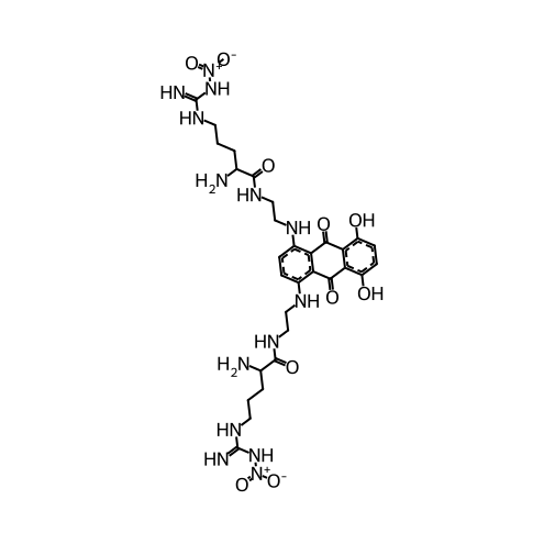 N=C(NCCCC(N)C(=O)NCCNc1ccc(NCCNC(=O)C(N)CCCNC(=N)N[N+](=O)[O-])c2c1C(=O)c1c(O)ccc(O)c1C2=O)N[N+](=O)[O-]